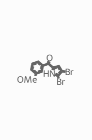 COc1cccc(C(=O)c2cc(Br)c(Br)[nH]2)c1